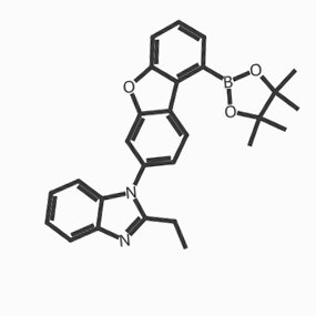 CCc1nc2ccccc2n1-c1ccc2c(c1)oc1cccc(B3OC(C)(C)C(C)(C)O3)c12